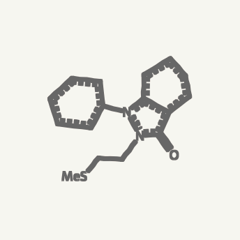 CSCCn1c(=O)c2ccccc2n1-c1ccccc1